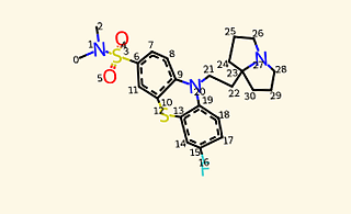 CN(C)S(=O)(=O)c1ccc2c(c1)Sc1cc(F)ccc1N2CCC12CCCN1CCC2